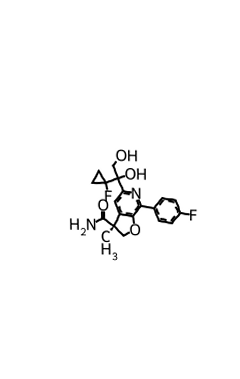 C[C@]1(C(N)=O)COc2c1cc(C(O)(CO)C1(F)CC1)nc2-c1ccc(F)cc1